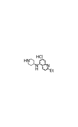 CCc1ccc2c(NC3CCNCC3)cccc2n1.Cl